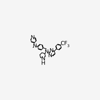 CN(c1ccncc1)c1ccc(CN(c2nccc(-c3ccc(C(F)(F)F)cc3)n2)C2CCCNC2)cc1